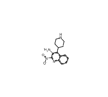 Nc1c([N+](=O)[O-])nc2ccccc2c1C1CCNCC1